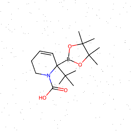 CC(C)(C)C1(B2OC(C)(C)C(C)(C)O2)C=CCCN1C(=O)O